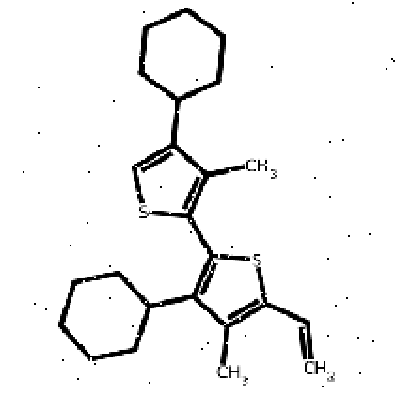 C=Cc1sc(-c2scc(C3CCCCC3)c2C)c(C2CCCCC2)c1C